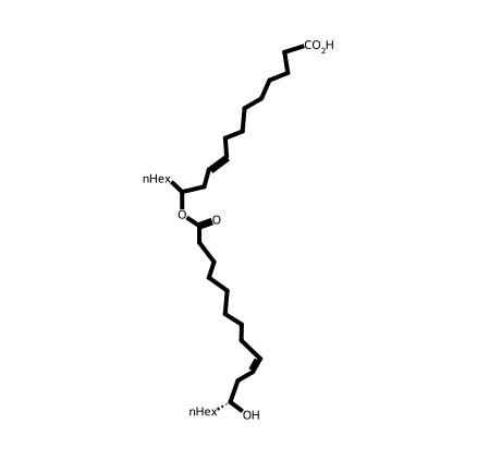 CCCCCCC(CC=CCCCCCCCC(=O)O)OC(=O)CCCCCCC/C=C\C[C@H](O)CCCCCC